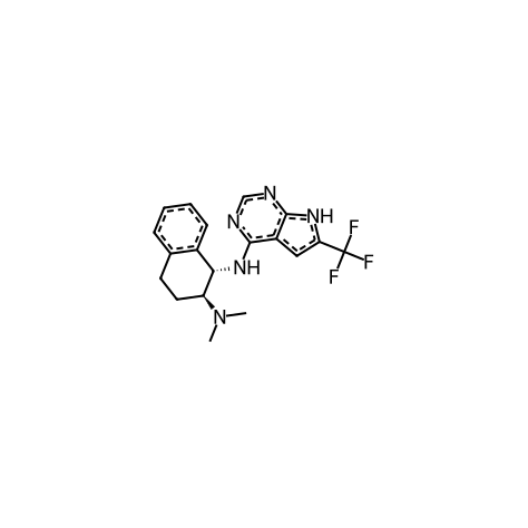 CN(C)[C@H]1CCc2ccccc2[C@@H]1Nc1ncnc2[nH]c(C(F)(F)F)cc12